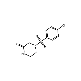 O=C1[CH]N(S(=O)(=O)c2ccc(Cl)cc2)CCN1